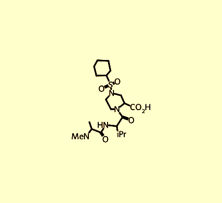 CNC(C)C(=O)NC(C(=O)N1CCN(S(=O)(=O)C2CCCCC2)CC1C(=O)O)C(C)C